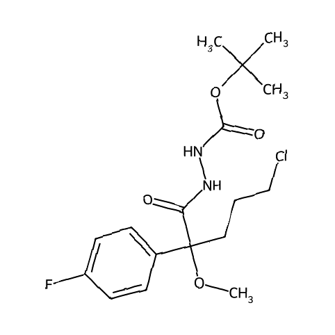 COC(CCCCl)(C(=O)NNC(=O)OC(C)(C)C)c1ccc(F)cc1